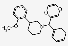 COc1ccccc1C1CCCN(C(C2=CC=CCC2)C2=COC=CO2)C1